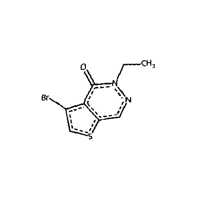 CCn1ncc2scc(Br)c2c1=O